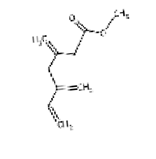 C=CC(=C)CC(=C)CC(=O)OC